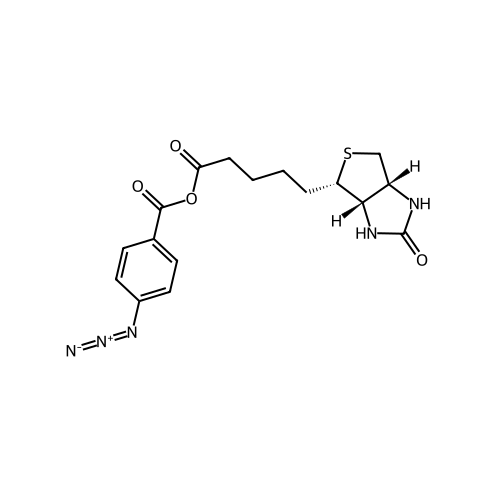 [N-]=[N+]=Nc1ccc(C(=O)OC(=O)CCCC[C@@H]2SC[C@@H]3NC(=O)N[C@@H]32)cc1